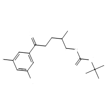 CC(CCC(=O)c1cc(Cl)cc(Cl)c1)CNC(=O)OC(C)(C)C